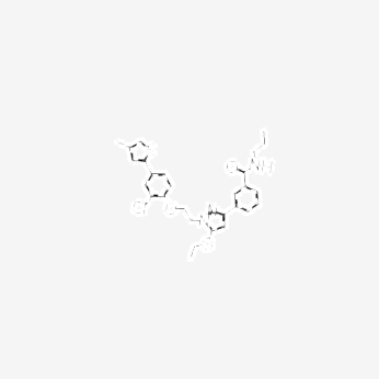 CCCNC(=O)c1cccc(-c2cc(OCC)n(CCOc3ccc(-c4cc(C)cs4)cc3Cl)n2)c1